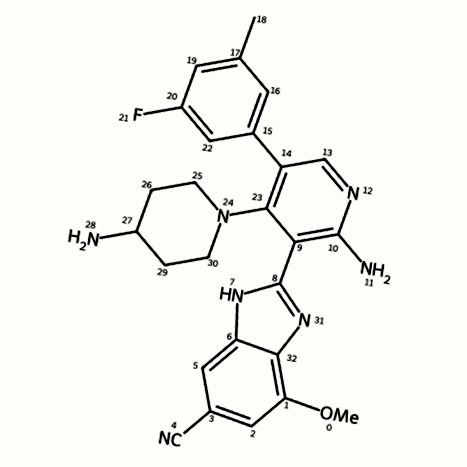 COc1cc(C#N)cc2[nH]c(-c3c(N)ncc(-c4cc(C)cc(F)c4)c3N3CCC(N)CC3)nc12